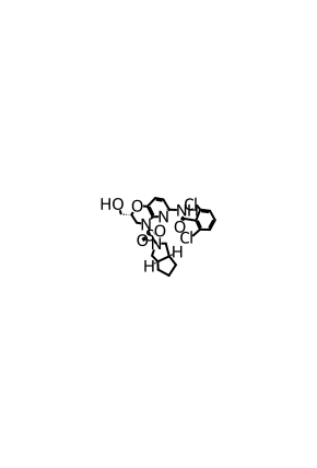 O=C(Nc1ccc2c(n1)N(S(=O)(=O)N1C[C@H]3CCC[C@H]3C1)C[C@H](CO)O2)c1c(Cl)cccc1Cl